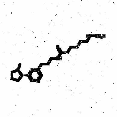 CN1CCC[C@H]1c1cncc(CCCNC(=O)CCCCCNC(=O)O)c1